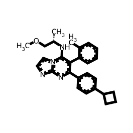 COC[C@H](C)Nc1c(-c2ccccc2C)c(-c2ccc([C]3CCC3)cc2)nc2nccn12